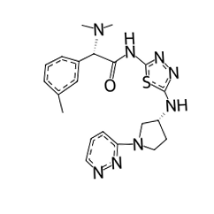 Cc1cccc([C@@H](C(=O)Nc2nnc(N[C@@H]3CCN(c4cccnn4)C3)s2)N(C)C)c1